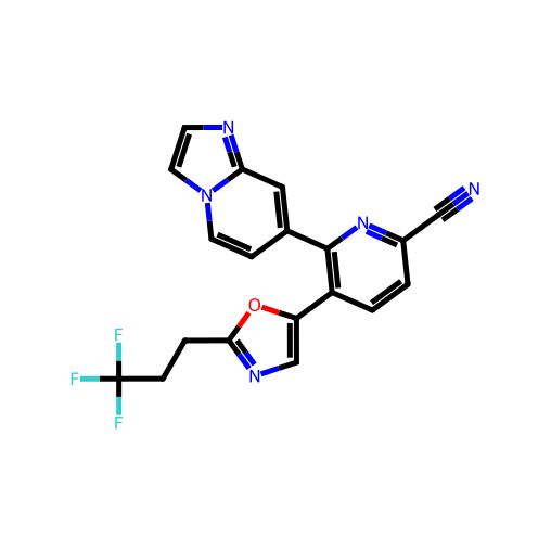 N#Cc1ccc(-c2cnc(CCC(F)(F)F)o2)c(-c2ccn3ccnc3c2)n1